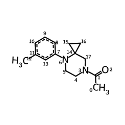 CC(=O)N1CCN(c2cccc(C)c2)C2(CC2)C1